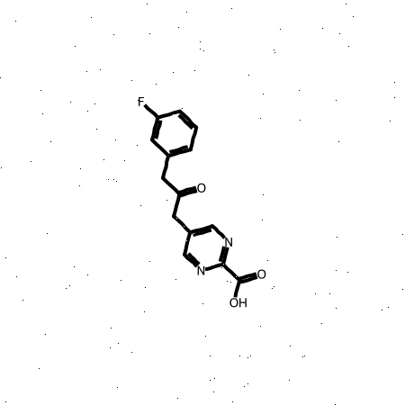 O=C(Cc1cnc(C(=O)O)nc1)Cc1cccc(F)c1